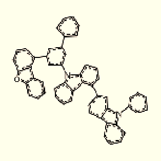 c1ccc(-c2cc(-c3cccc4oc5ccccc5c34)cc(-n3c4ccccc4c4c(-c5ccc6c7ccccc7n(-c7ccccc7)c6c5)cccc43)c2)cc1